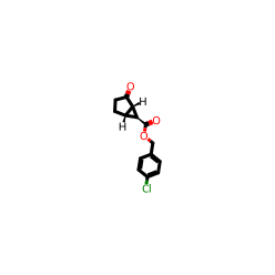 O=C1CC[C@@H]2[C@H]1[C@H]2C(=O)OCc1ccc(Cl)cc1